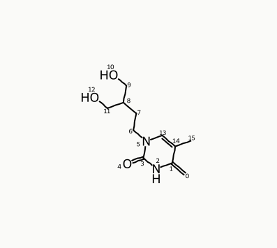 C=C1NC(=O)N(CCC(CO)CO)C=C1C